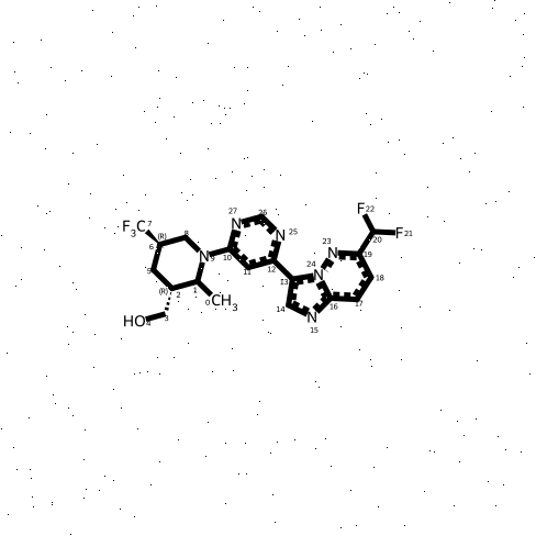 CC1[C@H](CO)C[C@@H](C(F)(F)F)CN1c1cc(-c2cnc3ccc(C(F)F)nn23)ncn1